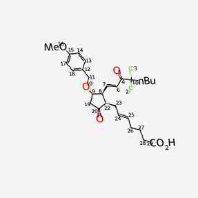 CCCCC(F)(F)C(=O)C=C[C@@H]1[C@H](OCc2ccc(OC)cc2)CC(=O)[C@@H]1CC=CCCCC(=O)O